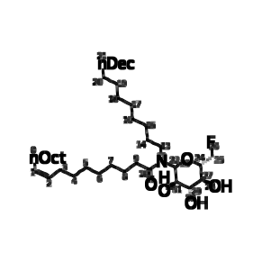 CCCCCCCC/C=C\CCCCCCCC(=O)N(CCCCCCCCCCCCCCCCCC)C1O[C@H](CF)[C@@H](O)[C@H](O)[C@H]1O